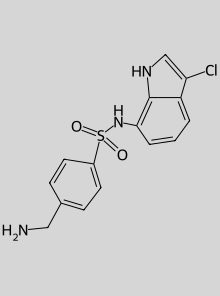 NCc1ccc(S(=O)(=O)Nc2cccc3c(Cl)c[nH]c23)cc1